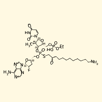 CCOP(=O)(O)OC[C@H]1O[C@@H](n2ccc(=O)[nH]c2=O)[C@H](C)[C@@H]1OP(=O)(OC[C@@H]1CC(F)[C@H](n2cnc3c(N)ncnc32)O1)SCC(=O)CCCCCCCCCCN